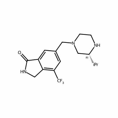 CC(C)[C@@H]1CN(Cc2cc3c(c(C(F)(F)F)c2)CNC3=O)CCN1